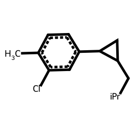 Cc1ccc(C2CC2CC(C)C)cc1Cl